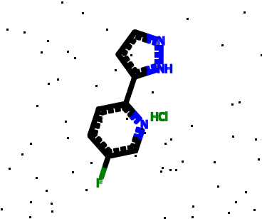 Cl.Fc1ccc(-c2ccn[nH]2)nc1